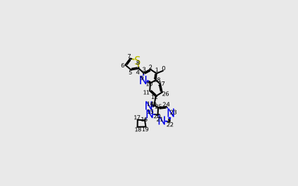 Cc1cc(-c2cccs2)nc2cc(-c3nn(C4CCC4)c4ncncc34)ccc12